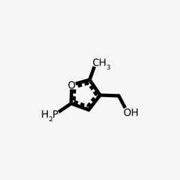 Cc1oc(P)cc1CO